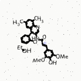 CCO.COc1cc(/C=C/C(=O)Nc2cnc3c(C)cc(C)cc3c2-c2ccccc2Cl)cc(OC)c1O